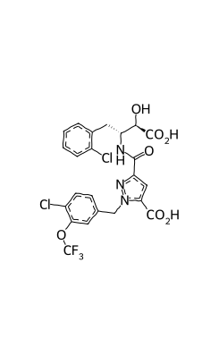 O=C(N[C@H](Cc1ccccc1Cl)[C@@H](O)C(=O)O)c1cc(C(=O)O)n(Cc2ccc(Cl)c(OC(F)(F)F)c2)n1